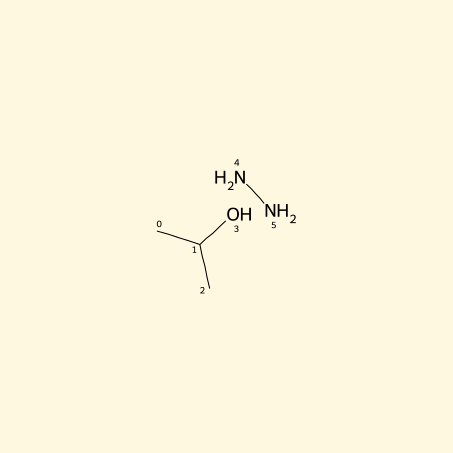 CC(C)O.NN